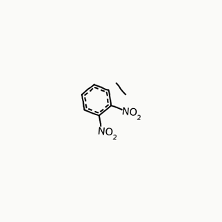 CC.O=[N+]([O-])c1ccccc1[N+](=O)[O-]